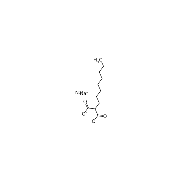 CCCCCCCCC(C(=O)[O-])C(=O)[O-].[Na+].[Na+]